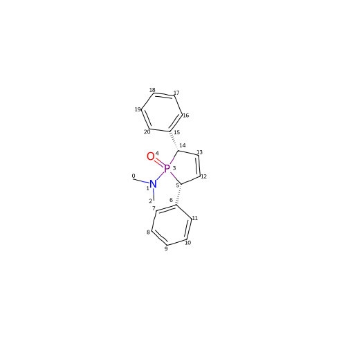 CN(C)P1(=O)[C@@H](c2ccccc2)C=C[C@H]1c1ccccc1